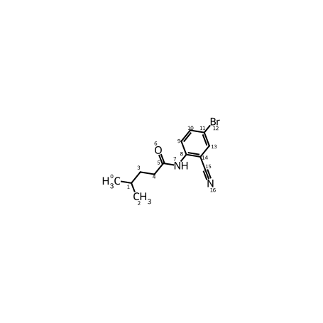 CC(C)CCC(=O)Nc1ccc(Br)cc1C#N